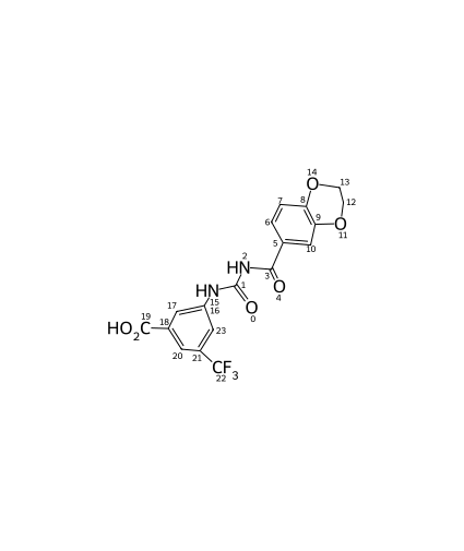 O=C(NC(=O)c1ccc2c(c1)OCCO2)Nc1cc(C(=O)O)cc(C(F)(F)F)c1